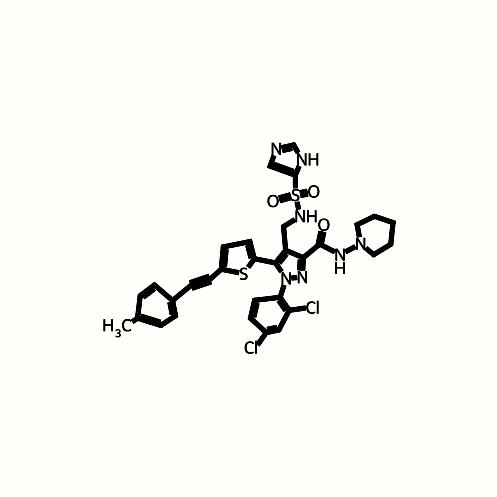 Cc1ccc(C#Cc2ccc(-c3c(CNS(=O)(=O)c4cnc[nH]4)c(C(=O)NN4CCCCC4)nn3-c3ccc(Cl)cc3Cl)s2)cc1